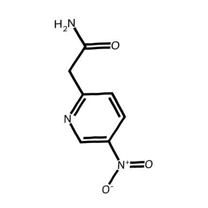 NC(=O)Cc1ccc([N+](=O)[O-])cn1